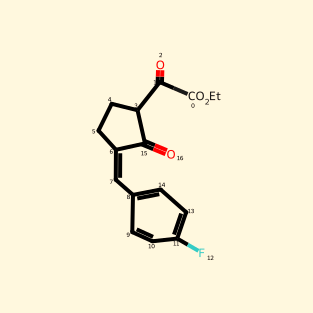 CCOC(=O)C(=O)C1CCC(=Cc2ccc(F)cc2)C1=O